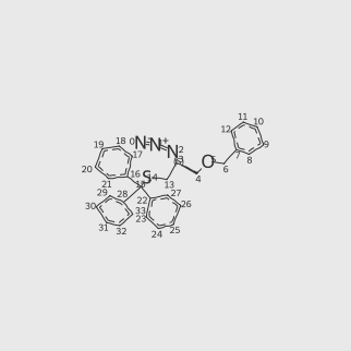 [N-]=[N+]=N[C@@H](COCc1ccccc1)CSC(c1ccccc1)(c1ccccc1)c1ccccc1